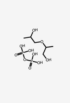 CC(O)COC(C)CO.O=P(O)(O)OP(=O)(O)O